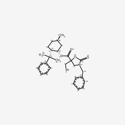 CC(C)CC1(C(=O)O[C@H]2C[C@H](C)CC[C@H]2C(C)(C)c2ccccc2)CN(Cc2ccccc2)C(=O)O1